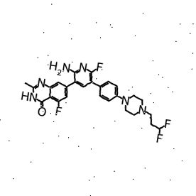 Cc1nc2cc(-c3cc(-c4ccc(N5CCN(CCC(F)F)CC5)cc4)c(F)nc3N)cc(F)c2c(=O)[nH]1